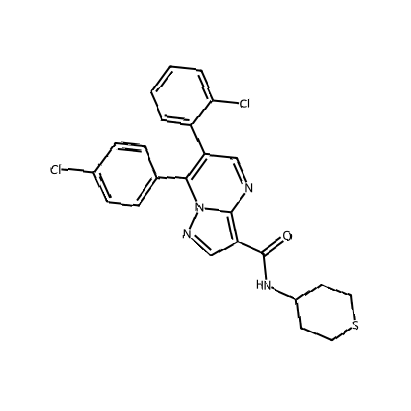 O=C(NC1CCSCC1)c1cnn2c(-c3ccc(Cl)cc3)c(-c3ccccc3Cl)cnc12